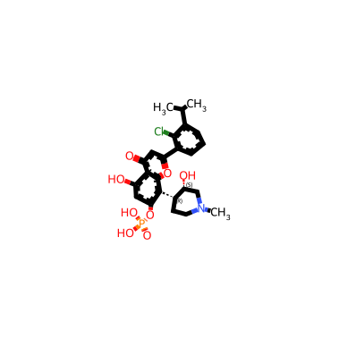 CC(C)c1cccc(-c2cc(=O)c3c(O)cc(OP(=O)(O)O)c([C@H]4CCN(C)C[C@H]4O)c3o2)c1Cl